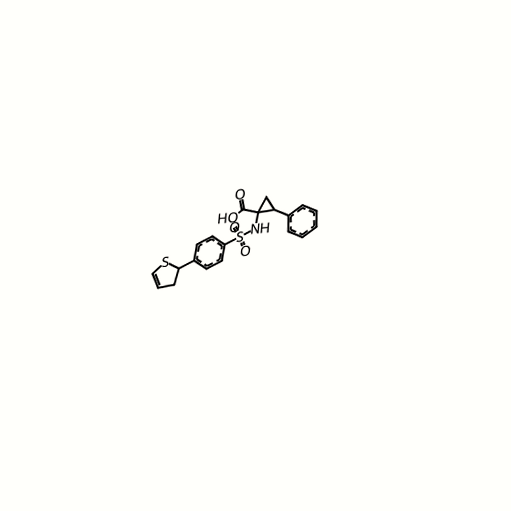 O=C(O)C1(NS(=O)(=O)c2ccc(C3CC=CS3)cc2)CC1c1ccccc1